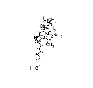 CCCCCCCCc1cc(CC(C(=O)OC(C)(C)C)P(OCC)OCC)no1